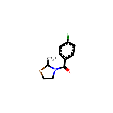 O=C(O)C1SCCN1C(=O)c1ccc(F)cc1